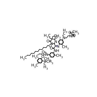 CCCCCCCCCCCCON1C(=O)C(CC)(CC)C(=O)N=C1/C(=N\c1ccc(N(CC)CCNS(C)(=O)=O)cc1C)C(=O)Nc1cc(NCOC(CC)Oc2ccc(C)cc2C(C)(C)C)ccc1C